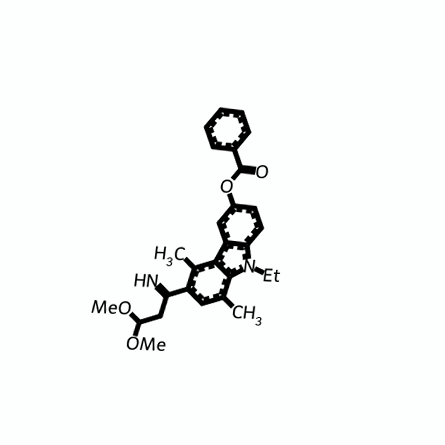 CCn1c2ccc(OC(=O)c3ccccc3)cc2c2c(C)c(C(=N)CC(OC)OC)cc(C)c21